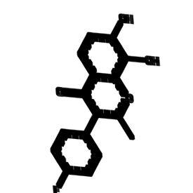 Cc1oc2c(O)c(O)ccc2c(=O)c1-c1ccc(F)cc1